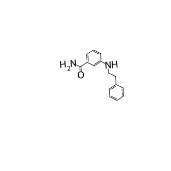 NC(=O)c1cccc(NCCc2ccccc2)c1